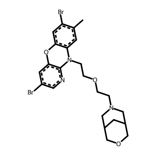 Cc1cc2c(cc1Br)Oc1cc(Br)cnc1N2CCOCCN1CC2COCC(C2)C1